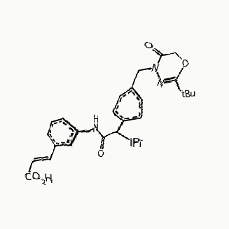 CC(C)C(C(=O)Nc1cccc(C=CC(=O)O)c1)c1ccc(CN2N=C(C(C)(C)C)OCC2=O)cc1